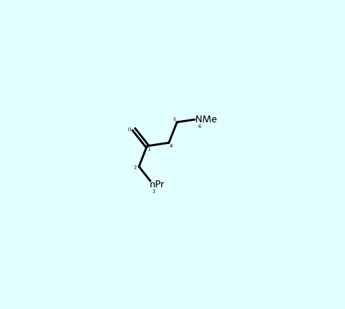 C=C(CCCC)CCNC